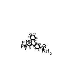 N[S+]([O-])c1ccc(-c2cc(C(F)(F)F)nn2-c2ccccc2)cc1